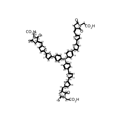 O=C(O)CN1C(=O)C/C(=C/c2ccc(-c3ccc(-c4ccc(N(c5ccc(-c6ccc(-c7ccc(/C=C8\CC(=S)N(CC(=O)O)C8=O)s7)s6)cc5)c5ccc(-c6ccc(-c7ccc(/C=C8/SC(=S)N(CC(=O)O)C8=O)s7)s6)cc5)cc4)s3)s2)C1=O